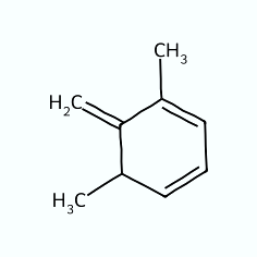 C=C1C(C)=CC=CC1C